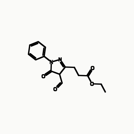 CCOC(=O)CCC1=NN(c2ccccc2)C(=O)C1C=O